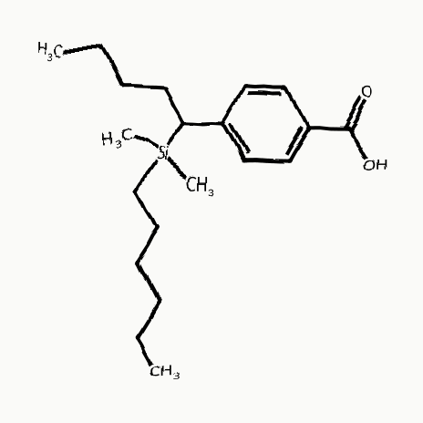 CCCCCC[Si](C)(C)C(CCCC)c1ccc(C(=O)O)cc1